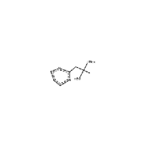 CCCCCCC(C)(CCCC)Cc1ncccn1